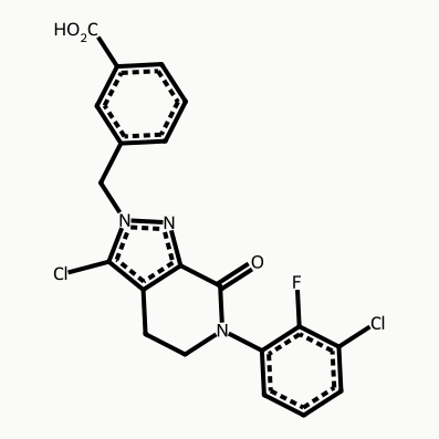 O=C(O)c1cccc(Cn2nc3c(c2Cl)CCN(c2cccc(Cl)c2F)C3=O)c1